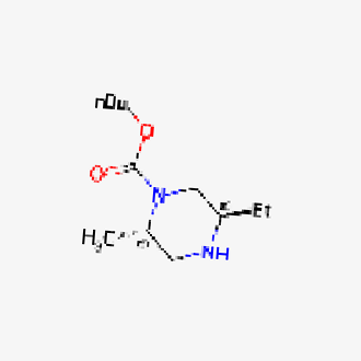 CCCCOC(=O)N1C[C@@H](CC)NC[C@@H]1C